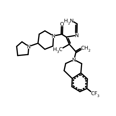 C=C(/C(C)=C(\N=C/N)C(=O)N1CCC(N2CCCC2)CC1)N1CCc2ccc(C(F)(F)F)cc2C1